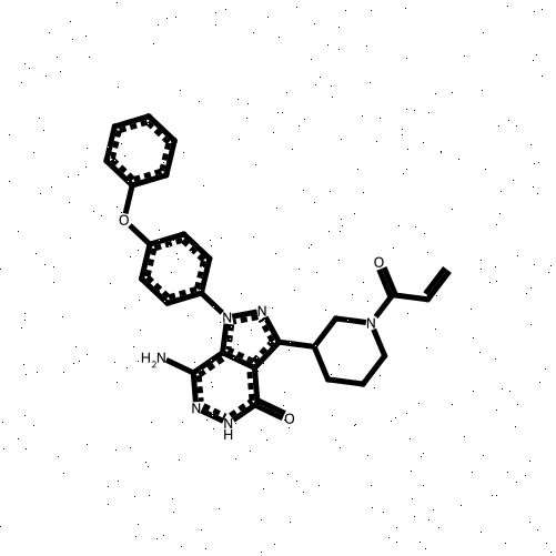 C=CC(=O)N1CCCC(c2nn(-c3ccc(Oc4ccccc4)cc3)c3c(N)n[nH]c(=O)c23)C1